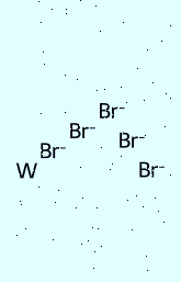 [Br-].[Br-].[Br-].[Br-].[Br-].[W]